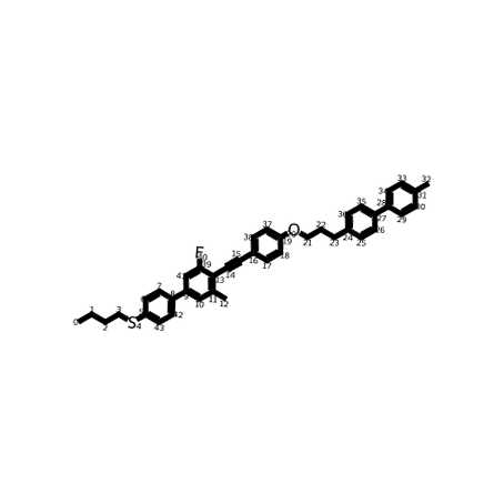 CCCCSc1ccc(-c2cc(C)c(C#Cc3ccc(OCCCc4ccc(-c5ccc(C)cc5)cc4)cc3)c(F)c2)cc1